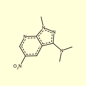 CN(C)c1nn(C)c2ncc([N+](=O)[O-])cc12